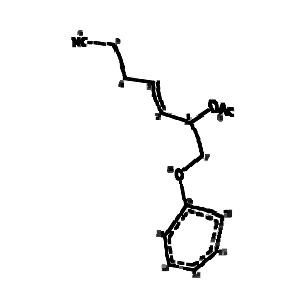 CC(=O)O[C](C=CCCC#N)COc1ccccc1